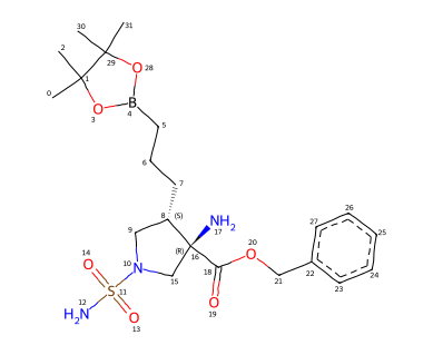 CC1(C)OB(CCC[C@H]2CN(S(N)(=O)=O)C[C@@]2(N)C(=O)OCc2ccccc2)OC1(C)C